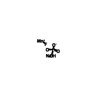 O=P([O-])([O-])O.[F][Mn+].[Na+]